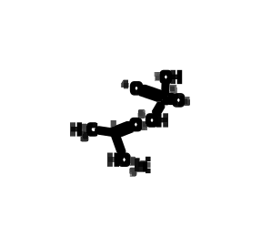 CC(=O)O.O=S(=O)(O)O.[In]